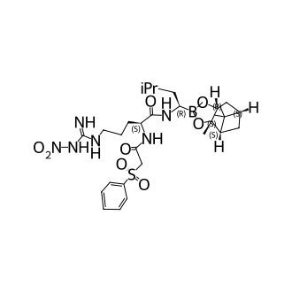 CC(C)C[C@H](NC(=O)[C@H](CCCNC(=N)N[N+](=O)[O-])NC(=O)CS(=O)(=O)c1ccccc1)B1O[C@@H]2C[C@@H]3C[C@@H](C3(C)C)[C@]2(C)O1